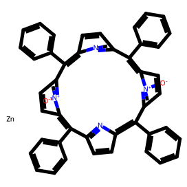 [O-][N+]1=C2C=CC1=C(c1ccccc1)C1=NC(=C(c3ccccc3)C3=[N+]([O-])C(=C(c4ccccc4)C4=NC(=C2c2ccccc2)C=C4)C=C3)C=C1.[Zn]